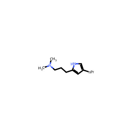 CCCc1c[nH]c(CCCN(C)C)c1